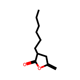 C=C1CC(CCCCCC)C(=O)O1